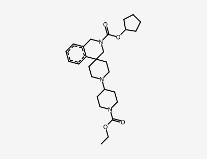 CCOC(=O)N1CCC(N2CCC3(CC2)CN(C(=O)OC2CCCC2)Cc2ccccc23)CC1